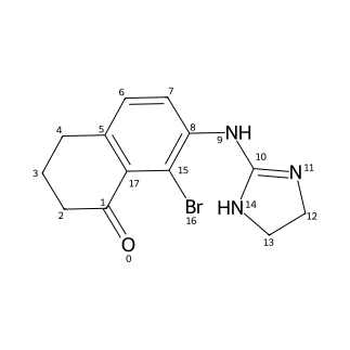 O=C1CCCc2ccc(NC3=NCCN3)c(Br)c21